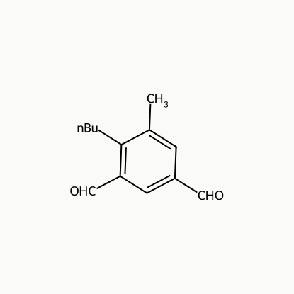 CCCCc1c(C)cc(C=O)cc1C=O